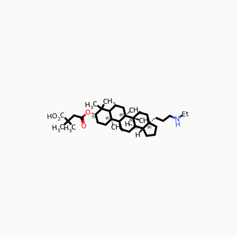 CCNCCC[C@]12CCC[C@@H]1[C@H]1CCC3[C@@]4(C)CC[C@H](OC(=O)CC(C)(C)C(=O)O)C(C)(C)C4CC[C@@]3(C)[C@]1(C)CC2